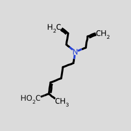 C=CCN(CC=C)CCCC=C(C)C(=O)O